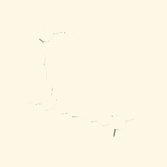 CCCCCCCCC(CCCCCC)OC(=O)OCCCCCCCN(CCCO)CCCCCCCOC(=O)OC(CCCCCC)CCCCCCCC